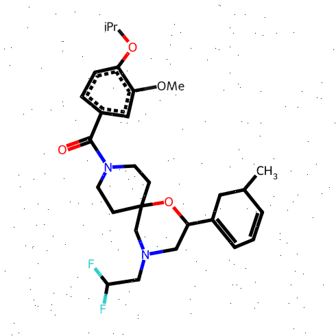 COc1cc(C(=O)N2CCC3(CC2)CN(CC(F)F)CC(C2=CC=CC(C)C2)O3)ccc1OC(C)C